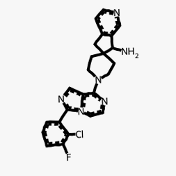 NC1c2cnccc2CC12CCN(c1nccn3c(-c4cccc(F)c4Cl)ncc13)CC2